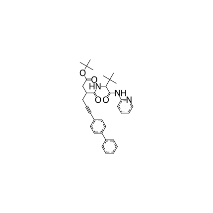 CC(C)(C)OC(=O)CC(CC#Cc1ccc(-c2ccccc2)cc1)C(=O)NC(C(=O)Nc1ccccn1)C(C)(C)C